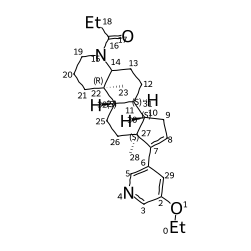 CCOc1cncc(C2=CC[C@H]3[C@@H]4CCC5N(C(=O)CC)CCC[C@]5(C)[C@H]4CC[C@]23C)c1